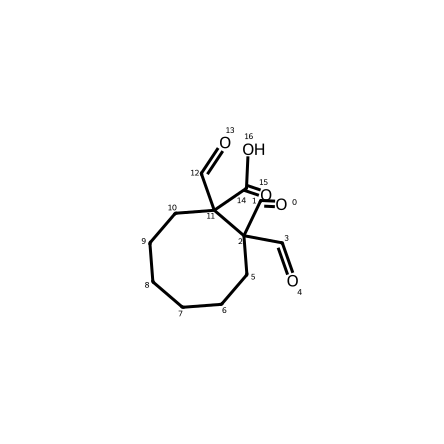 O=CC1(C=O)CCCCCCC1(C=O)C(=O)O